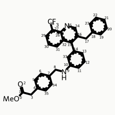 COC(=O)Cc1ccc(CNc2cccc(-c3c(Cc4ccccc4)cnc4c(C(F)(F)F)cccc34)c2)cc1